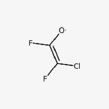 [O]C(F)=C(F)Cl